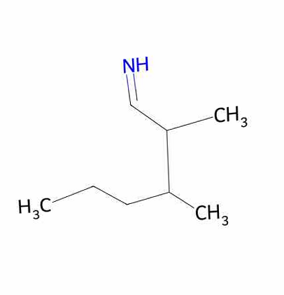 CCCC(C)C(C)C=N